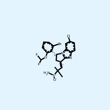 CC(C)(/C=C1\C[C@H](c2c(Br)cccc2OC(F)F)n2c1nc1ccc(Cl)cc12)[S+](N)[O-]